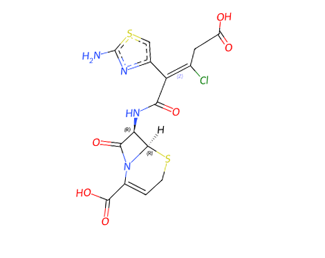 Nc1nc(/C(C(=O)N[C@@H]2C(=O)N3C(C(=O)O)=CCS[C@H]23)=C(/Cl)CC(=O)O)cs1